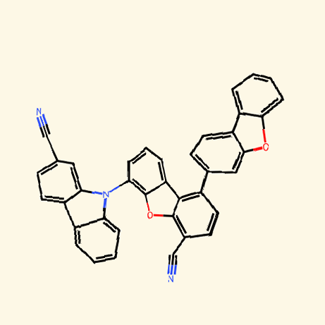 N#Cc1ccc2c3ccccc3n(-c3cccc4c3oc3c(C#N)ccc(-c5ccc6c(c5)oc5ccccc56)c34)c2c1